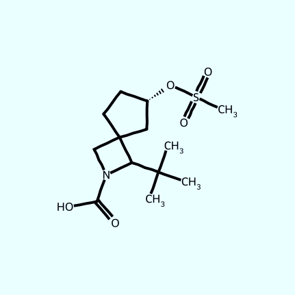 CC(C)(C)C1N(C(=O)O)CC12CC[C@H](OS(C)(=O)=O)C2